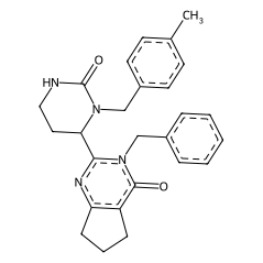 Cc1ccc(CN2C(=O)NCCC2c2nc3c(c(=O)n2Cc2ccccc2)CCC3)cc1